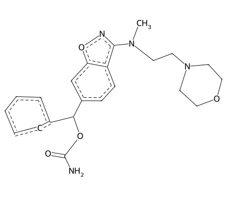 CN(CCN1CCOCC1)c1noc2cc(C(OC(N)=O)c3ccccc3)ccc12